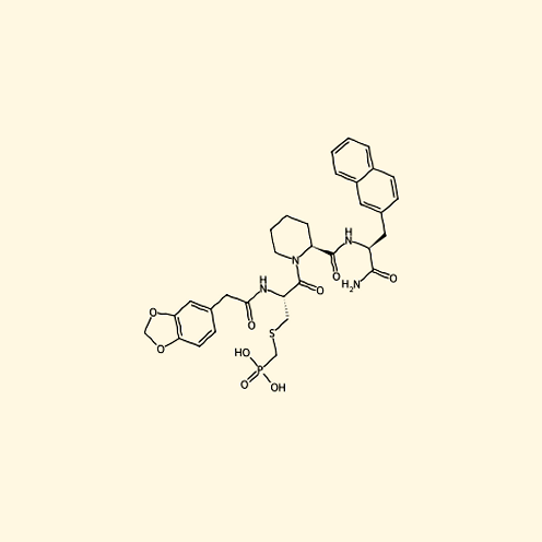 NC(=O)[C@H](Cc1ccc2ccccc2c1)NC(=O)[C@@H]1CCCCN1C(=O)[C@H](CSCP(=O)(O)O)NC(=O)Cc1ccc2c(c1)OCO2